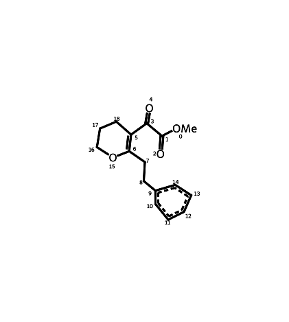 COC(=O)C(=O)C1=C(CCc2ccccc2)OCCC1